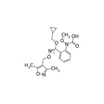 CON(C(=O)O)c1ccccc1/C(=N\OCc1c(C)noc1C)OCC1CC1